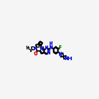 CN(C)C(=O)c1cc2cnc(Nc3ccc(N4CC5(CNC5)C4)c(F)c3)nc2n1C12CC(C1)C2